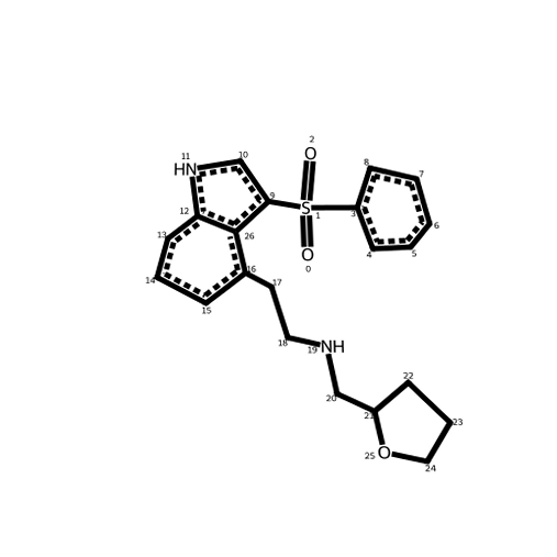 O=S(=O)(c1ccccc1)c1c[nH]c2cccc(CCNCC3CCCO3)c12